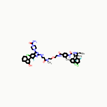 COc1cc(C(=O)NCCOCCN(C)C(=O)CCNc2nc(N3CCN(C(N)=O)CC3)c3cc(Cl)c(-c4cc(O)cc5ccccc45)c(F)c3n2)ccc1NC(=O)[C@@H]1N[C@@H](CC(C)(C)C)[C@](C#N)(c2ccc(Cl)cc2F)[C@H]1c1cccc(Cl)c1F